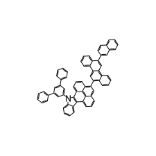 c1ccc(-c2cc(-c3ccccc3)cc(-n3c4ccccc4c4c5cccc6cc(-c7cc8c9ccccc9c(-c9ccc%10ccccc%10c9)cc8c8ccccc78)c7cccc(c7c65)c43)c2)cc1